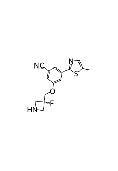 Cc1cnc(-c2cc(C#N)cc(OCC3(F)CNC3)c2)s1